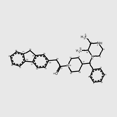 CC1NCCN(C(c2ccccc2)C2CCN(C(=O)Cc3ccc4c(c3)Cc3ccccc3-4)CC2)C1C